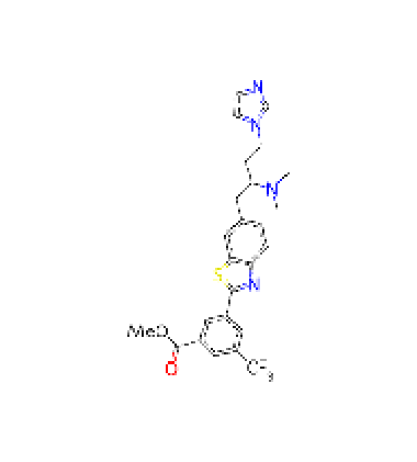 COC(=O)c1cc(-c2nc3ccc(CC(CCn4ccnc4)N(C)C)cc3s2)cc(C(F)(F)F)c1